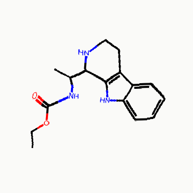 CCOC(=O)NC(C)C1NCCc2c1[nH]c1ccccc21